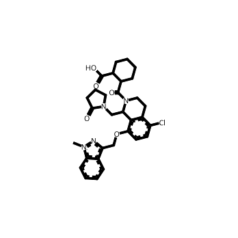 Cn1nc(COc2ccc(Cl)c3c2C(CN2CCCC2=O)N(C(=O)C2CCCCC2C(=O)O)CC3)c2ccccc21